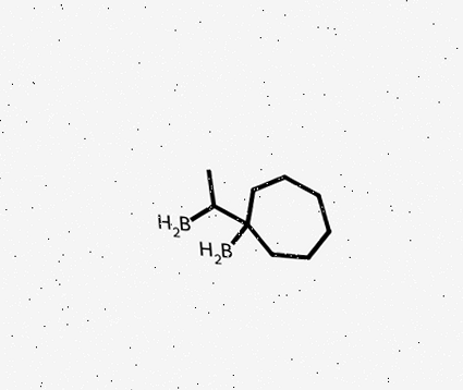 BC(C)C1(B)CCCCCC1